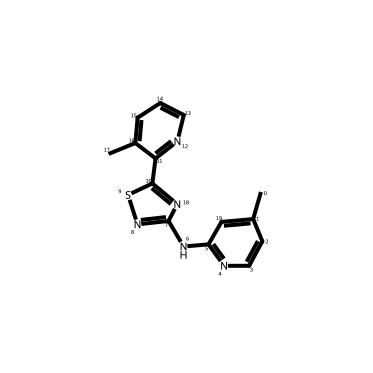 Cc1ccnc(Nc2nsc(-c3ncccc3C)n2)c1